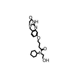 O=C1CN2Cc3ccc(OCCCC(=O)N(CCO)C4CCCCC4)cc3N=C2N1